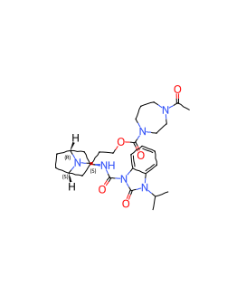 CC(=O)N1CCCN(C(=O)OCCCN2[C@@H]3CC[C@H]2C[C@H](NC(=O)n2c(=O)n(C(C)C)c4ccccc42)C3)CC1